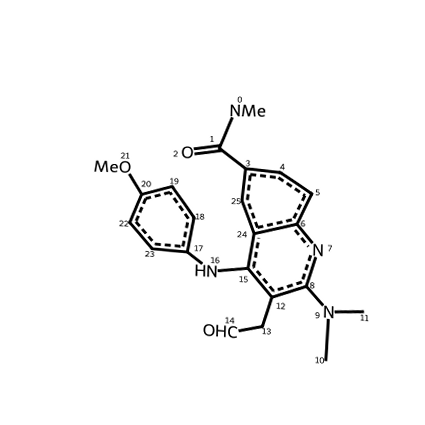 CNC(=O)c1ccc2nc(N(C)C)c(CC=O)c(Nc3ccc(OC)cc3)c2c1